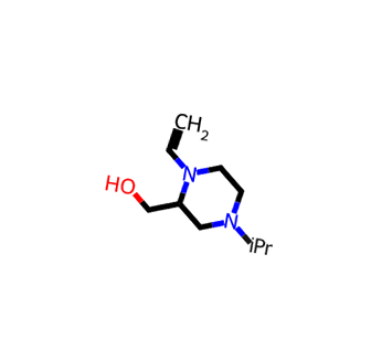 C=CN1CCN(C(C)C)CC1CO